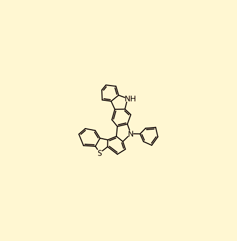 c1ccc(-n2c3cc4[nH]c5ccccc5c4cc3c3c4c(ccc32)sc2ccccc24)cc1